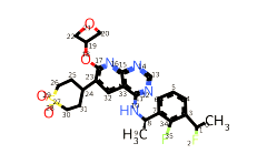 CC(F)c1cccc([C@@H](C)Nc2ncnc3nc(OC4COC4)c(C4CCS(=O)(=O)CC4)cc23)c1F